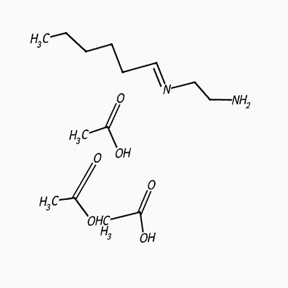 CC(=O)O.CC(=O)O.CC(=O)O.CCCCCC=NCCN